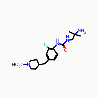 CC(C)(N)CNC(=O)Nc1ccc(CC2CCN(C(=O)O)CC2)cc1F